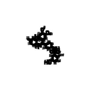 COc1cc2c(cc1OC)[C@H]1CN(C)CC[C@H]1N=C2c1ccc(NS(=O)(=O)c2cc(O)ccc2C)cc1